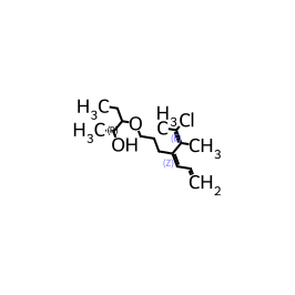 C=C/C=C(CCCOC(CC)[C@@H](C)O)\C(C)=C(/C)Cl